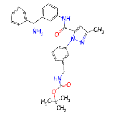 Cc1cc(C(=O)Nc2cccc(C(N)c3ccccc3)c2)n(-c2cccc(CNC(=O)OC(C)(C)C)c2)n1